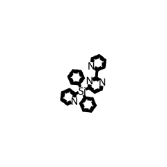 c1ccc([Si](c2ccccc2)(c2ccccn2)c2ccnc(-c3ccccn3)n2)cc1